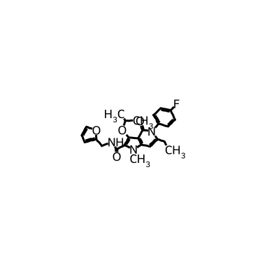 CCc1cc2c(c(OC(C)C)c(C(=O)NCc3ccco3)n2C)c(=O)n1-c1ccc(F)cc1